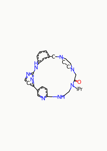 CC(C)N1CCNc2ccc(cn2)-c2ccnc(n2)Nc2cccc(c2)CN2CCN(CC2)CC1=O